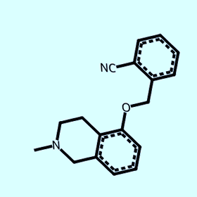 CN1CCc2c(cccc2OCc2ccccc2C#N)C1